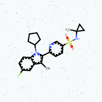 N#Cc1c(-c2ccc(S(=O)(=O)NC3(C(F)(F)F)CC3)cn2)n(C2CCCC2)c2ccc(F)cc12